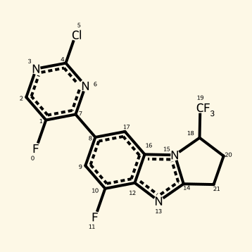 Fc1cnc(Cl)nc1-c1cc(F)c2nc3n(c2c1)C(C(F)(F)F)CC3